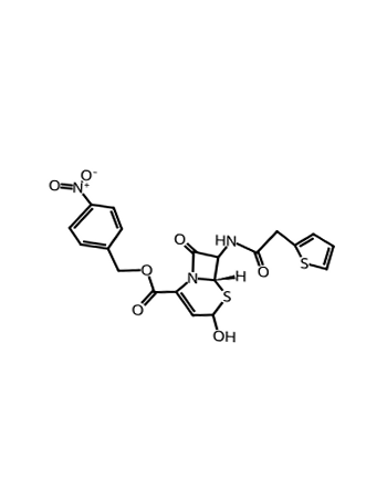 O=C(Cc1cccs1)NC1C(=O)N2C(C(=O)OCc3ccc([N+](=O)[O-])cc3)=CC(O)S[C@@H]12